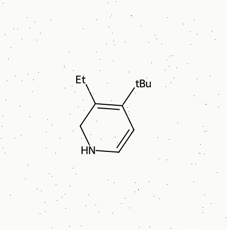 CCC1=C(C(C)(C)C)C=CNC1